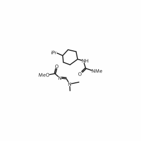 CNC(=O)NC1CCC(C(C)C)CC1.COC(=O)N=CN(C)C